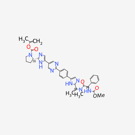 C=C(C)OC(=O)N1CCC[C@H]1c1ncc(-c2cnc(-c3ccc(-c4cnc([C@H](C)N(C)C(=O)[C@H](NC(=O)OC)c5ccccc5)[nH]4)cc3)nc2)[nH]1